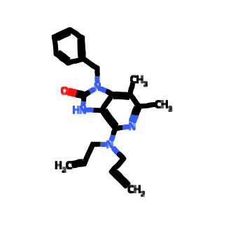 C=CCN(CC=C)c1nc(C)c(C)c2c1[nH]c(=O)n2Cc1ccccc1